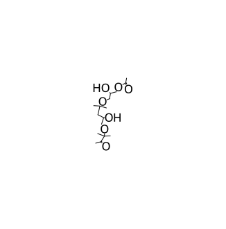 CC(=O)OCC(O)COC(C)(C)CC(O)COC(C)(C)C(C)=O